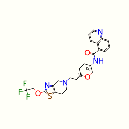 O=C(N[C@H]1CC[C@H](CCN2CCc3sc(OCC(F)(F)F)nc3C2)OC1)c1cccc2ncccc12